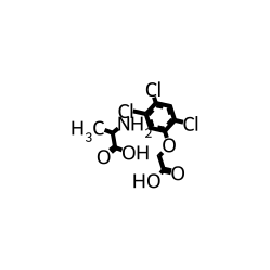 CC(N)C(=O)O.O=C(O)COc1cc(Cl)c(Cl)cc1Cl